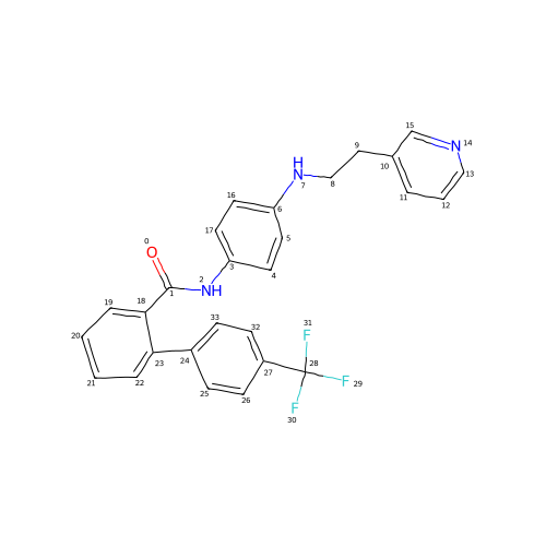 O=C(Nc1ccc(NCCc2cccnc2)cc1)c1ccccc1-c1ccc(C(F)(F)F)cc1